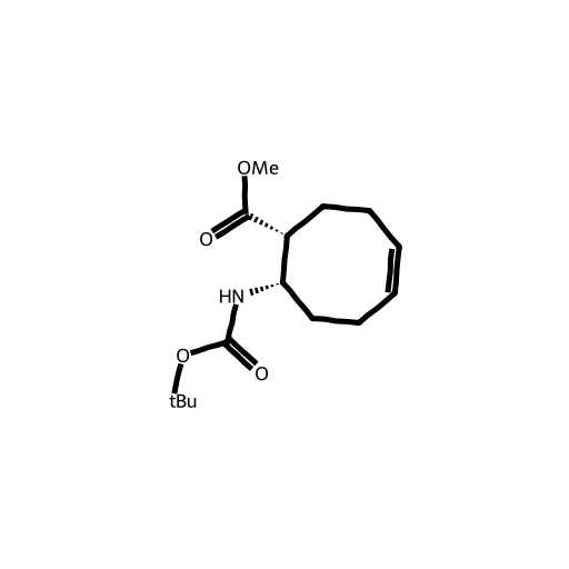 COC(=O)[C@@H]1CC/C=C\CC[C@@H]1NC(=O)OC(C)(C)C